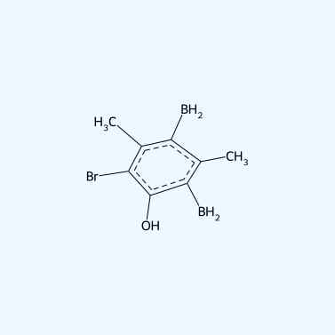 Bc1c(C)c(B)c(O)c(Br)c1C